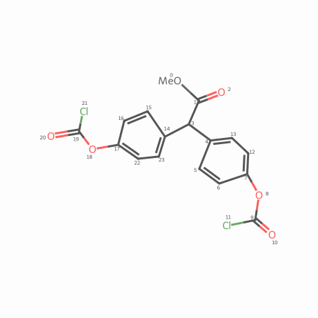 COC(=O)C(c1ccc(OC(=O)Cl)cc1)c1ccc(OC(=O)Cl)cc1